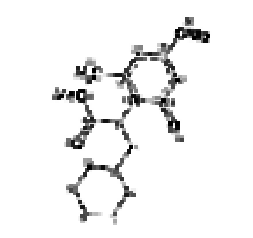 COC(=O)C(CC1CCCCC1)n1c(C)cc(OC)cc1=O